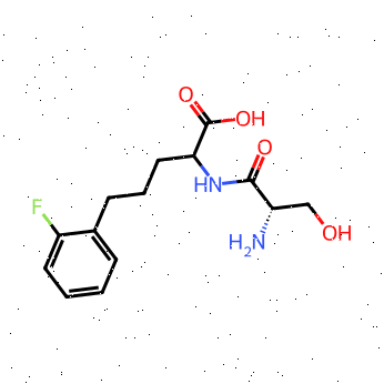 N[C@@H](CO)C(=O)NC(CCCc1ccccc1F)C(=O)O